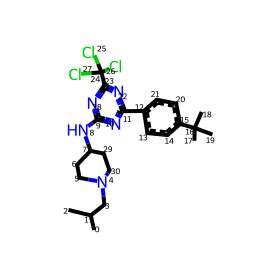 CC(C)CN1CCC(Nc2nc(-c3ccc(C(C)(C)C)cc3)nc(C(Cl)(Cl)Cl)n2)CC1